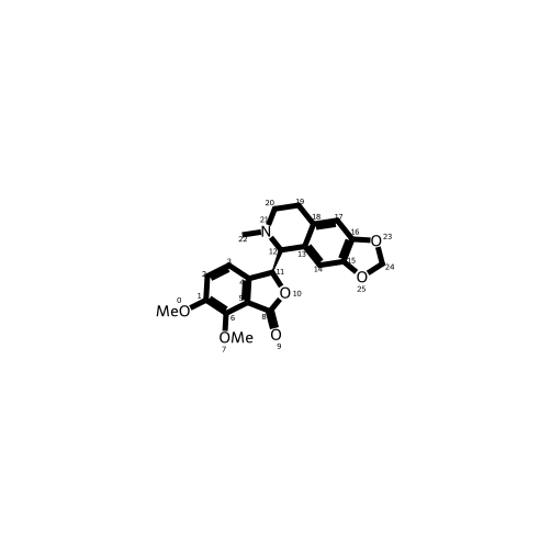 COc1ccc2c(c1OC)C(=O)O[C@@H]2C1c2cc3c(cc2CCN1C)OCO3